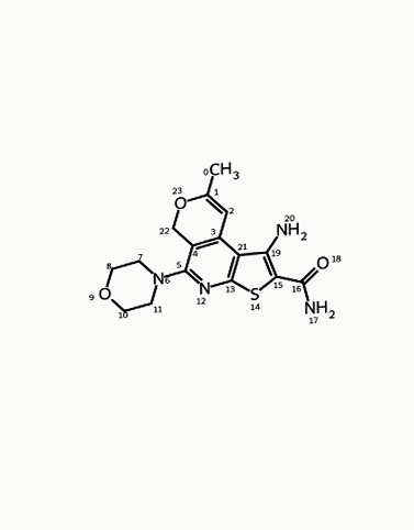 CC1=Cc2c(c(N3CCOCC3)nc3sc(C(N)=O)c(N)c23)CO1